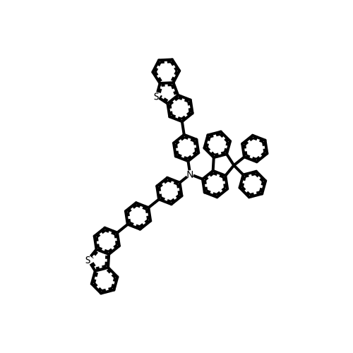 c1ccc(C2(c3ccccc3)c3ccccc3-c3c(N(c4ccc(-c5ccc(-c6ccc7sc8ccccc8c7c6)cc5)cc4)c4ccc(-c5ccc6c(c5)sc5ccccc56)cc4)cccc32)cc1